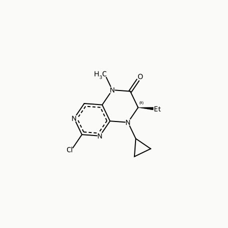 CC[C@@H]1C(=O)N(C)c2cnc(Cl)nc2N1C1CC1